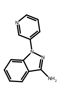 Nc1nn(-c2cccnc2)c2ccccc12